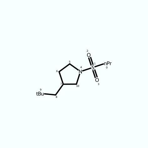 CCCS(=O)(=O)N1CCC(CC(C)(C)C)C1